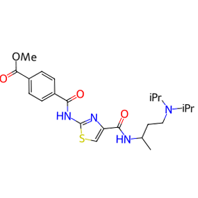 COC(=O)c1ccc(C(=O)Nc2nc(C(=O)NC(C)CCN(C(C)C)C(C)C)cs2)cc1